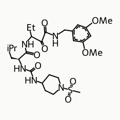 CCC(NC(=O)[C@H](CC(C)C)NC(=O)NC1CCN(S(C)(=O)=O)CC1)C(=O)C(=O)NCc1cc(OC)cc(OC)c1